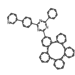 c1ccc(-c2nc(-c3ccc(-c4cccnc4)cc3)nc(-c3ccc4c5ccccc5c5ccccc5c5ccccc5c5ccccc5c4c3)n2)cc1